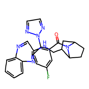 O=C(c1cc(F)ccc1-n1nccn1)N1C2CCC1C(CNc1cnc3ccccc3n1)C2